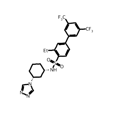 CCc1cc(-c2cc(C(F)(F)F)cc(C(F)(F)F)c2)ccc1S(=O)(=O)N[C@H]1CCC[C@@H](n2cnnc2)C1